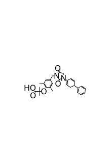 Cc1cc(CN2C(=O)CN(C3=CCC(c4ccccc4)C=C3)C2=O)cc(C)c1OC(C)(C)C(=O)O